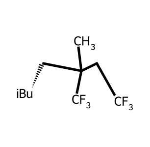 CC[C@@H](C)CC(C)(CC(F)(F)F)C(F)(F)F